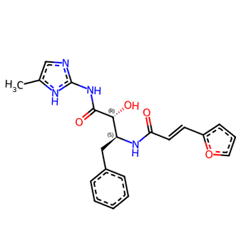 Cc1cnc(NC(=O)[C@H](O)[C@H](Cc2ccccc2)NC(=O)C=Cc2ccco2)[nH]1